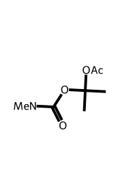 CNC(=O)OC(C)(C)OC(C)=O